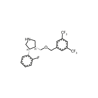 Fc1ccccc1[C@@H]1CNC[C@@H]1COCc1cc(C(F)(F)F)cc(C(F)(F)F)c1